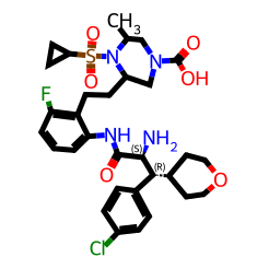 CC1CN(C(=O)O)CC(CCc2c(F)cccc2NC(=O)[C@@H](N)[C@@H](c2ccc(Cl)cc2)C2CCOCC2)N1S(=O)(=O)C1CC1